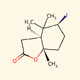 CC1(C)[C@@H](I)CC[C@]2(C)OC(=O)C[C@@H]12